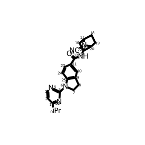 CC(C)c1ccnc(N2CCc3cc(C(=O)NC4CC5CCC4N5C#N)ccc32)n1